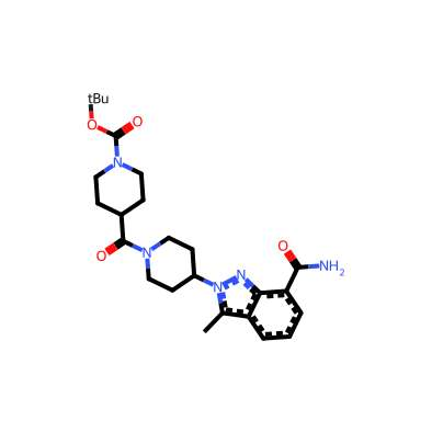 Cc1c2cccc(C(N)=O)c2nn1C1CCN(C(=O)C2CCN(C(=O)OC(C)(C)C)CC2)CC1